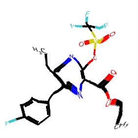 CCOC(=O)c1nc(-c2ccc(F)cc2)c(CC)nc1OS(=O)(=O)C(F)(F)F